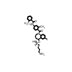 Cc1ccccc1C(=O)Nc1ccc(C(=O)N2CCCC(OP(O)(=S)OCCCN)c3cc(I)ccc32)c(C)c1